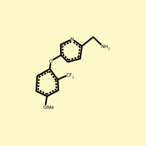 COc1ccc(Oc2ccc(CN)nc2)c(C(F)(F)F)c1